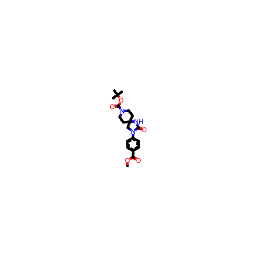 COC(=O)c1ccc(N2CC3(CCN(C(=O)OC(C)(C)C)CC3)NC2=O)cc1